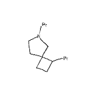 CC(C)C1CCC12CCN(C(C)C)C2